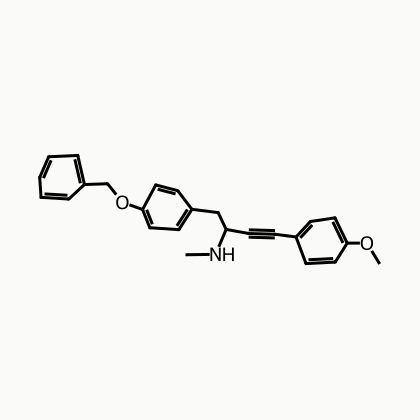 CNC(C#Cc1ccc(OC)cc1)Cc1ccc(OCc2ccccc2)cc1